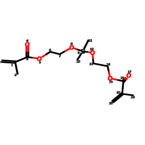 C=C(C)C(=O)OCCO[Si](C)(C)OCCOC(=O)C(=C)C